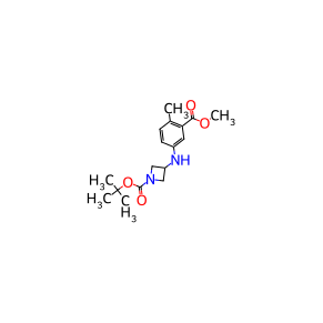 COC(=O)c1cc(NC2CN(C(=O)OC(C)(C)C)C2)ccc1C